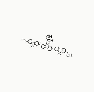 CCCc1ccc2c(c1)C(C)(C)c1cc(-c3ccc4c(c3)C(CO)(CCCO)c3cc(-c5ccc6c(c5)C(C)(C)c5cc(CO)ccc5-6)ccc3-4)ccc1-2